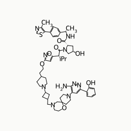 Cc1ncsc1-c1ccc([C@H](C)NC(=O)[C@@H]2C[C@@H](O)CN2C(=O)[C@@H](c2cc(OCCC3CCN(C4CC(CN5CCOC6(CCN(c7cc(-c8ccccc8O)nnc7N)CC6)C5)C4)CC3)no2)C(C)C)cc1